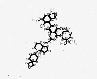 COc1nc(-c2c(Cl)c(C)cc3[nH]ncc23)c(F)c2nc(OC[C@]34CCC[C@H]3N(C3CCC5(CC3)COC5)CCC4)nc(N3CCOC[C@@](C)(O)C3)c12